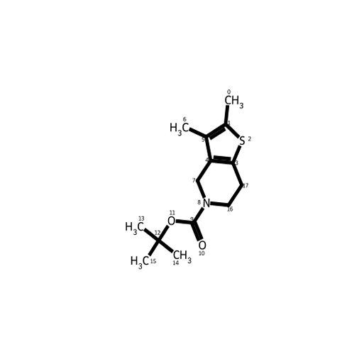 Cc1sc2c(c1C)CN(C(=O)OC(C)(C)C)CC2